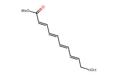 CCCCCCCCCC=CC=CC=CC=CC(=O)OC